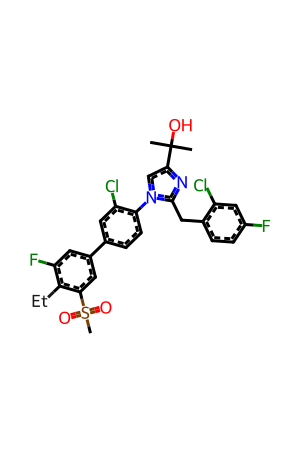 CCc1c(F)cc(-c2ccc(-n3cc(C(C)(C)O)nc3Cc3ccc(F)cc3Cl)c(Cl)c2)cc1S(C)(=O)=O